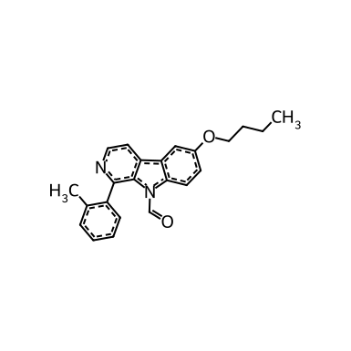 CCCCOc1ccc2c(c1)c1ccnc(-c3ccccc3C)c1n2C=O